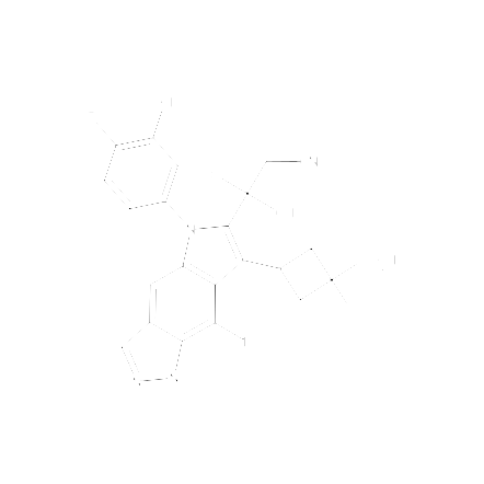 Cc1cc(-n2c(C(C)(C)CC#N)c(C3CC(F)(C(=O)O)C3)c3c(F)c4[nH]ncc4cc32)ccc1F